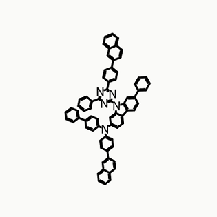 c1ccc(-c2ccc(N(c3ccc(-c4ccc5ccccc5c4)cc3)c3ccc4c5ccc(-c6ccccc6)cc5n(-c5nc(-c6ccccc6)nc(-c6ccc(-c7ccc8ccccc8c7)cc6)n5)c4c3)cc2)cc1